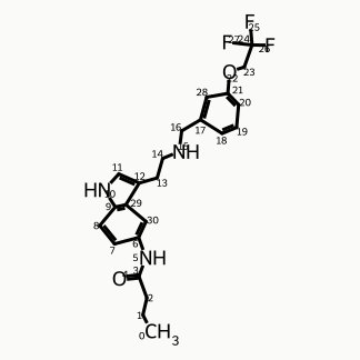 CCCC(=O)Nc1ccc2[nH]cc(CCNCc3cccc(OCC(F)(F)F)c3)c2c1